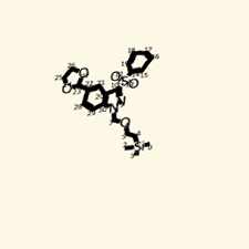 C[Si](C)(C)CCOCn1nc(S(=O)(=O)c2ccccc2)c2cc(C3OCCO3)ccc21